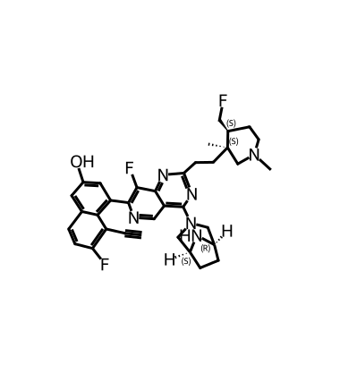 C#Cc1c(F)ccc2cc(O)cc(-c3ncc4c(N5C[C@H]6CC[C@@H](C5)N6)nc(CC[C@]5(C)CN(C)CC[C@@H]5CF)nc4c3F)c12